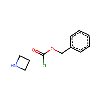 C1CNC1.O=C(Cl)OCc1ccccc1